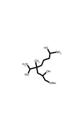 COCC(O)CC(C)(CCCC(N)O)C(N)O